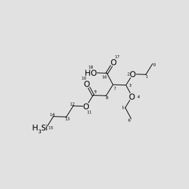 CCOC(OCC)C(CC(=O)OCCC[SiH3])C(=O)O